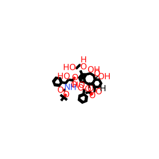 CC(=O)O[C@@]12CO[C@@H]1C[C@H](O)[C@@]1(C)C(=O)[C@H](O)C3=C(C)[C@@H](OC(=O)C(O)[C@@H](NC(=O)OC(C)(C)C)c4ccccc4)C[C@@](O)([C@@H](OC(=O)c4ccccc4)[C@H]21)C3(C)C.OCCO